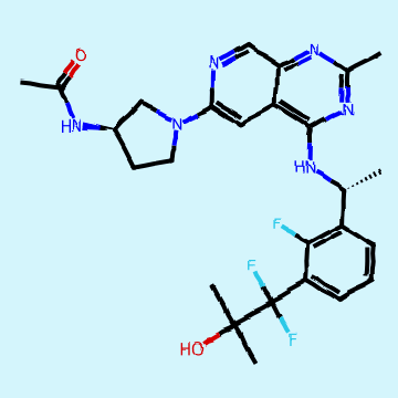 CC(=O)N[C@@H]1CCN(c2cc3c(N[C@H](C)c4cccc(C(F)(F)C(C)(C)O)c4F)nc(C)nc3cn2)C1